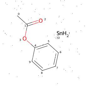 CC(=O)Oc1ccccc1.[SnH2]